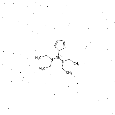 CC[N](CC)[Nb+2]([CH]1C=CC=C1)[N](CC)CC